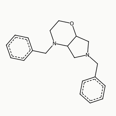 c1ccc(CN2CC3OCCN(Cc4ccccc4)C3C2)cc1